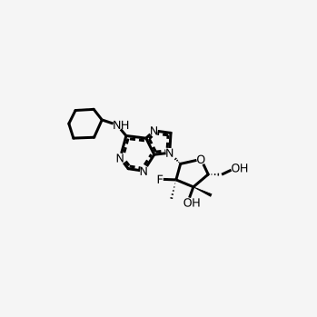 C[C@]1(O)[C@@H](CO)O[C@@H](n2cnc3c(NC4CCCCC4)ncnc32)[C@]1(C)F